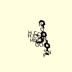 CC(C)(C)Sc1c(CC(C)(C)C(=O)O)n(Cc2ccc(-c3ncc(F)s3)cc2)c2ccc(OCc3ccccn3)cc12